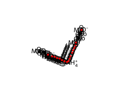 O.O.O.O.O.O.O.O.O.O.O.O.O.O.O.O.O.O.O.O.O.O.O.O.O.O.O.O.[NH4+].[O]=[Mo](=[O])([O-])[O-].[O]=[Mo](=[O])([O-])[O-].[O]=[Mo](=[O])([O-])[O-].[O]=[Mo](=[O])([O-])[O-].[O]=[Mo](=[O])([O-])[O-].[O]=[Mo](=[O])([O-])[O-].[O]=[Mo](=[O])([O-])[O-]